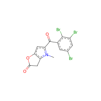 Cn1c(C(=O)c2cc(Br)cc(Br)c2Br)cc2c1CC(=O)O2